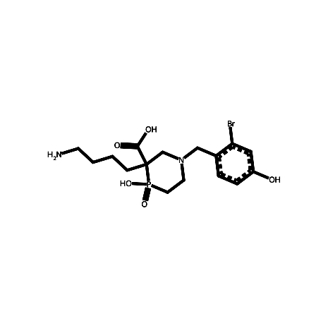 NCCCCC1(C(=O)O)CN(Cc2ccc(O)cc2Br)CCP1(=O)O